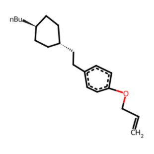 C=CCOc1ccc(CC[C@H]2CC[C@H](CCCC)CC2)cc1